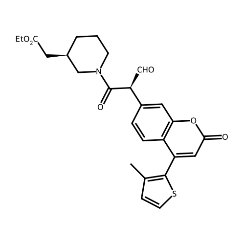 CCOC(=O)C[C@H]1CCCN(C(=O)[C@@H](C=O)c2ccc3c(-c4sccc4C)cc(=O)oc3c2)C1